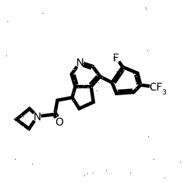 O=C(CC1CCc2c(-c3ccc(C(F)(F)F)cc3F)cncc21)N1CCC1